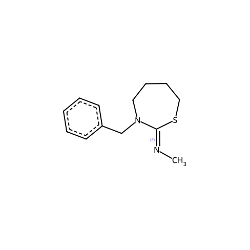 C/N=C1\SCCCCN1Cc1ccccc1